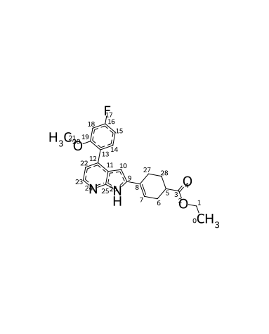 CCOC(=O)C1CC=C(c2cc3c(-c4ccc(F)cc4OC)ccnc3[nH]2)CC1